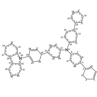 C1=CCCC(c2ccc(N(c3ccc(-c4ccccc4)cc3)c3ccc(C4C=CC(n5c6ccccc6c6ccccc65)=CC4)cc3)cc2)=C1